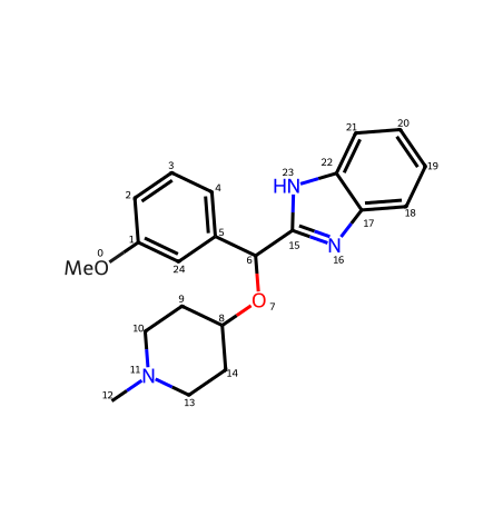 COc1cccc(C(OC2CCN(C)CC2)c2nc3ccccc3[nH]2)c1